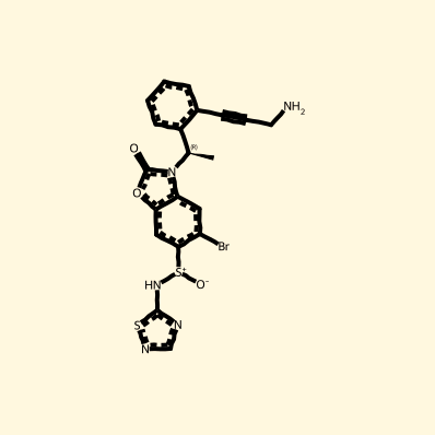 C[C@H](c1ccccc1C#CCN)n1c(=O)oc2cc([S+]([O-])Nc3ncns3)c(Br)cc21